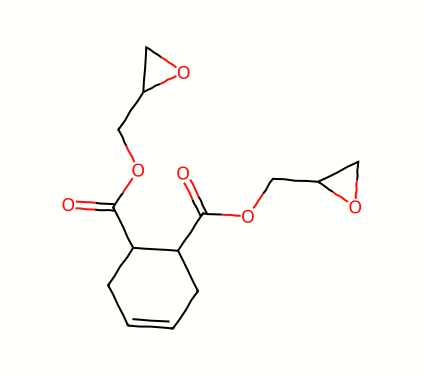 O=C(OCC1CO1)C1CC=CCC1C(=O)OCC1CO1